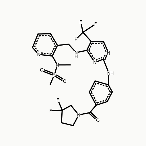 CN(c1ncccc1CNc1nc(Nc2ccc(C(=O)N3CCC(F)(F)C3)cc2)ncc1C(F)(F)F)S(C)(=O)=O